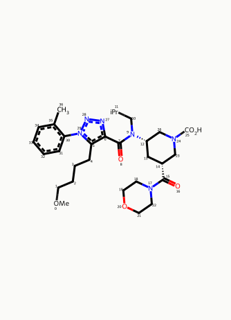 COCCCCc1c(C(=O)N(CC(C)C)[C@H]2C[C@@H](C(=O)N3CCOCC3)CN(C(=O)O)C2)nnn1-c1ccccc1C